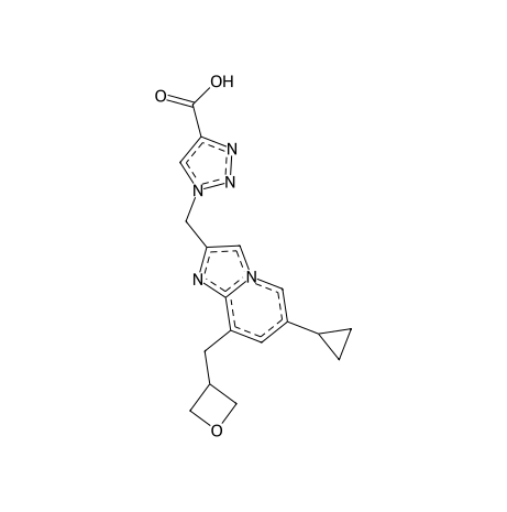 O=C(O)c1cn(Cc2cn3cc(C4CC4)cc(CC4COC4)c3n2)nn1